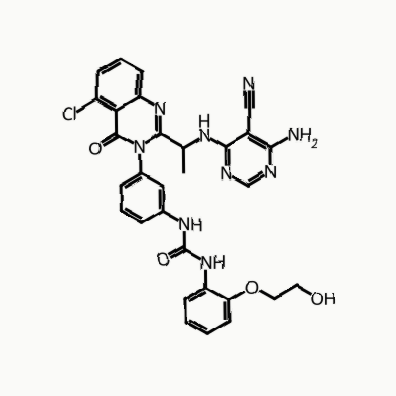 CC(Nc1ncnc(N)c1C#N)c1nc2cccc(Cl)c2c(=O)n1-c1cccc(NC(=O)Nc2ccccc2OCCO)c1